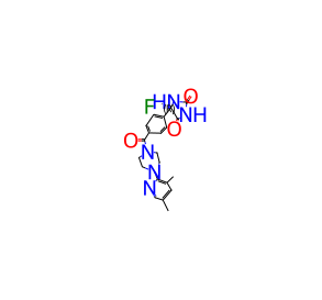 Cc1cnc(N2CCN(C(=O)c3ccc([C@@]4(C)NC(=O)NC4=O)c(F)c3)CC2)c(C)c1